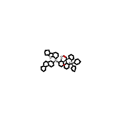 c1ccc([Si]2(c3ccccc3)c3ccccc3C3(c4ccccc4Sc4c(N(c5ccc6c(ccc7ccccc76)c5)c5cccc6c5sc5ccccc56)cccc43)c3ccccc32)cc1